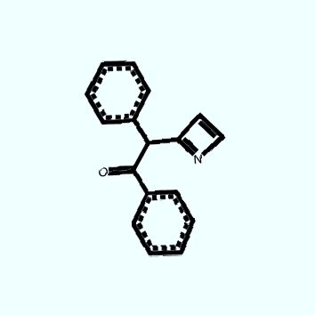 O=C(c1ccccc1)C(C1=NC=C1)c1ccccc1